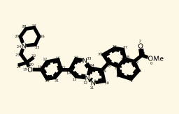 COC(=O)c1cccc2c(-c3cnn4cc(-c5ccc(OC(C)(C)CN6CCCCC6)cc5)cnc34)cccc12